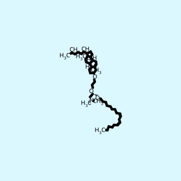 CCCCC/C=C\C/C=C\CCCCCCCCOC[C@H](CN(C)C)OCCCCO[C@H]1CC[C@@]2(C)C(=CC[C@@H]3[C@@H]2CC[C@]2(C)C([C@H](C)CCCC(C)C)CC[C@@H]32)C1